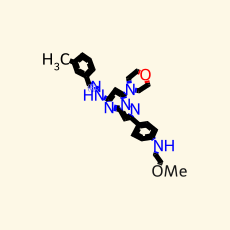 COCCNc1ccc(-c2cc3nc(N/N=C/c4cccc(C)c4)cc(N4CCOCC4)n3n2)cc1